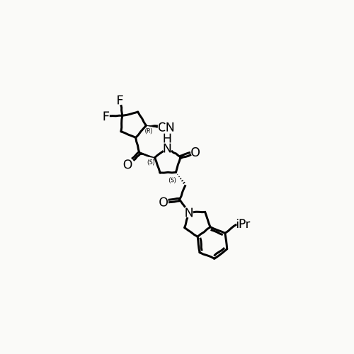 CC(C)c1cccc2c1CN(C(=O)C[C@@H]1C[C@@H](C(=O)C3CC(F)(F)C[C@H]3C#N)NC1=O)C2